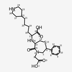 O=C(O)CN1CC(c2ccccc2)SCC(NC(CCCCC2CCNCC2)C(=O)O)C1=O